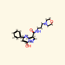 O=C(NCCCN1CCOCC1)c1cnn2c(O)cc(-c3ccccc3)nc12